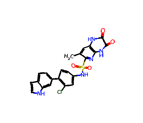 Cc1cc2[nH]c(=O)c(=O)[nH]c2nc1S(=O)(=O)Nc1ccc(-c2ccc3cc[nH]c3c2)c(Cl)c1